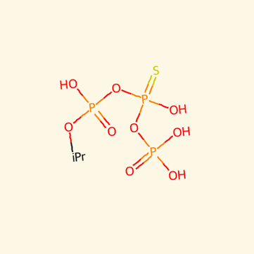 CC(C)OP(=O)(O)OP(O)(=S)OP(=O)(O)O